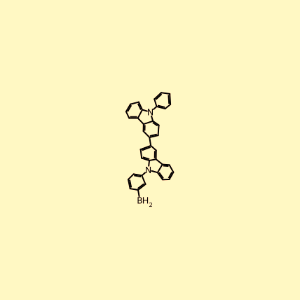 Bc1cccc(-n2c3ccccc3c3cc(-c4ccc5c(c4)c4ccccc4n5-c4ccccc4)ccc32)c1